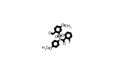 COc1ccc(N(C(=O)c2ccccc2F)S(=O)(=O)c2cc(OC)ccc2C=O)cc1